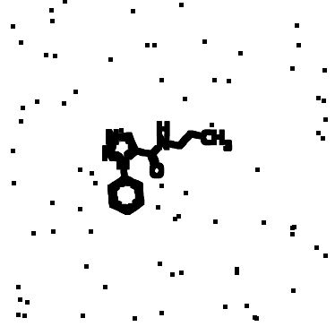 CCCNC(=O)c1cnnn1-c1ccccc1